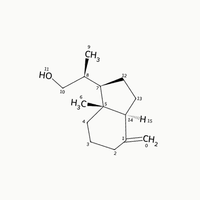 C=C1CCC[C@]2(C)[C@@H]([C@H](C)CO)CC[C@@H]12